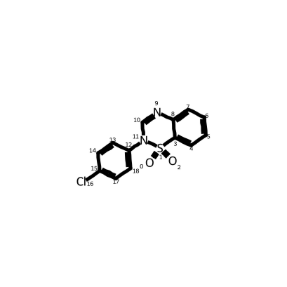 O=S1(=O)c2ccccc2N=CN1c1ccc(Cl)cc1